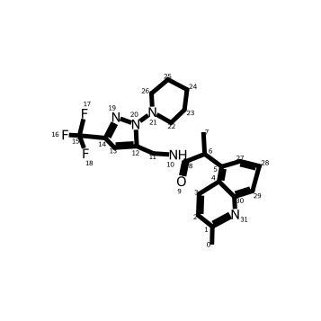 Cc1ccc2c(C(C)C(=O)NCc3cc(C(F)(F)F)nn3N3CCCCC3)cccc2n1